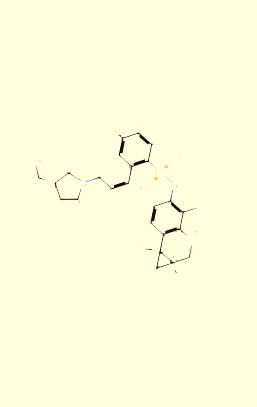 O=C(O)c1c(NS(=O)(=O)c2ccc(F)cc2/C=C\CN2CC[C@@H](CO)C2)ccc2c1OC[C@@H]1C[C@H]21